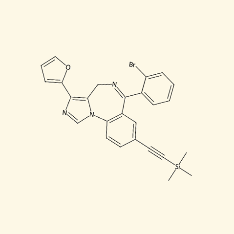 C[Si](C)(C)C#Cc1ccc2c(c1)C(c1ccccc1Br)=NCc1c(-c3ccco3)ncn1-2